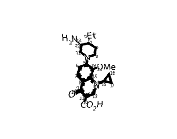 CC[C@@H]1CCN(c2ccc3c(=O)c(C(=O)O)cn(C4CC4)c3c2OC)C[C@H]1N